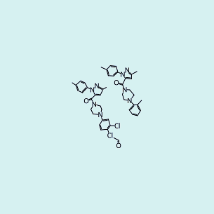 CC=O.Cc1ccc(-n2nc(C)cc2C(=O)N2CCN(c3ccc(Cl)c(Cl)c3)CC2)cc1.Cc1ccc(-n2nc(C)cc2C(=O)N2CCN(c3ccccc3C)CC2)cc1